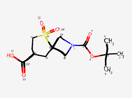 CC(C)(C)OC(=O)N1CC2(CC(C(=O)O)CS2(=O)=O)C1